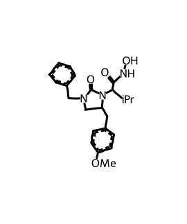 COc1ccc(CC2CN(Cc3ccccc3)C(=O)N2C(C(=O)NO)C(C)C)cc1